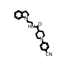 N#Cc1ccc(N2CCC(C(=O)NCCN3CCc4ccccc43)CC2)cc1